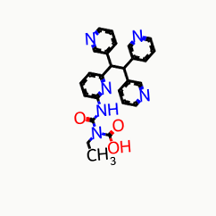 CCN(C(=O)O)C(=O)Nc1cccc(C(c2cccnc2)C(c2cccnc2)c2cccnc2)n1